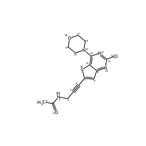 CC(=O)NCC#Cc1cc2nc(Cl)nc(N3CCOCC3)c2s1